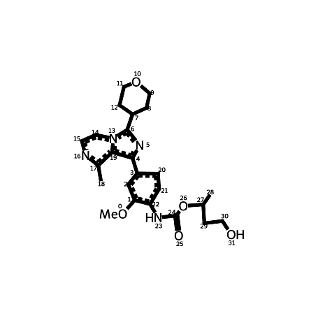 COc1cc(-c2nc(C3CCOCC3)n3ccnc(C)c23)ccc1NC(=O)OC(C)CCO